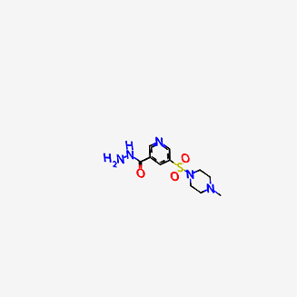 CN1CCN(S(=O)(=O)c2cncc(C(=O)NN)c2)CC1